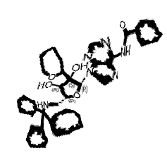 O=C(Nc1ncnc2c1ncn2[C@@H]1O[C@H](CNC(c2ccccc2)(c2ccccc2)c2ccccc2)[C@@H](O)[C@]1(O)C1CCCCO1)c1ccccc1